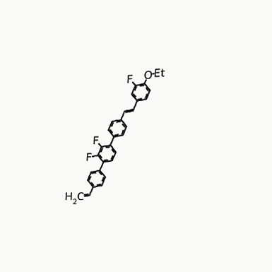 C=Cc1ccc(-c2ccc(-c3ccc(/C=C/c4ccc(OCC)c(F)c4)cc3)c(F)c2F)cc1